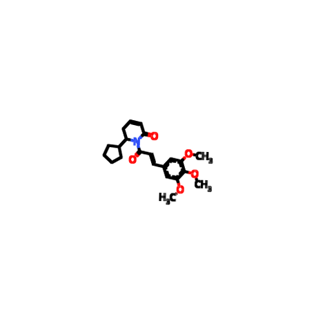 COc1cc(/C=C/C(=O)N2C(=O)C=CCC2C2CCCC2)cc(OC)c1OC